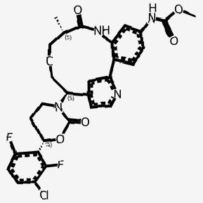 COC(=O)Nc1ccc2c(c1)NC(=O)[C@@H](C)CCC[C@H](N1CC[C@@H](c3c(F)ccc(Cl)c3F)OC1=O)c1ccnc-2c1